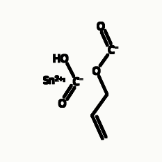 C=CCO[C-]=O.O=[C-]O.[Sn+2]